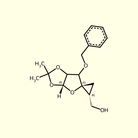 CC1(C)OC2C(OCc3ccccc3)[C@@]3(C[C@@H]3CO)O[C@@H]2O1